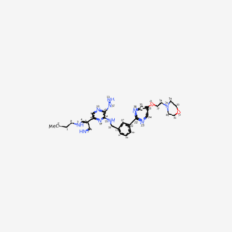 COCCN/C=C(\C=N)c1cnc(N=N)c(NCc2cccc(-c3ncc(OCCN4CCOCC4)cn3)c2)n1